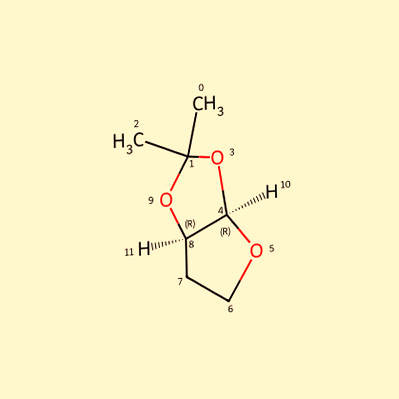 CC1(C)O[C@H]2OCC[C@H]2O1